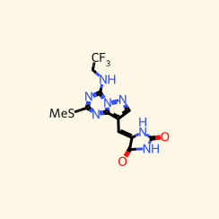 CSc1nc(NCC(F)(F)F)n2ncc(/C=C3\NC(=O)NC3=O)c2n1